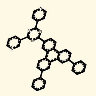 c1ccc(-c2ccc3c4ccc(-c5nc(-c6ccncc6)nc(-c6cccnc6)n5)cc4c4ccc(-c5ccccc5)cc4c3c2)cc1